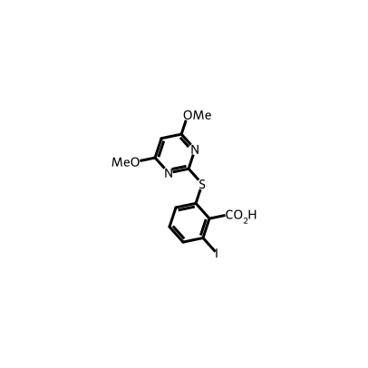 COc1cc(OC)nc(Sc2cccc(I)c2C(=O)O)n1